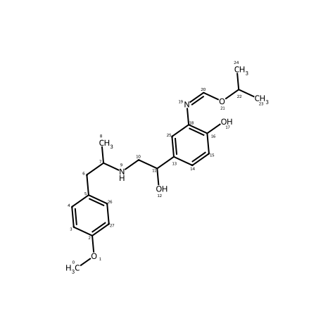 COc1ccc(CC(C)NCC(O)c2ccc(O)c(/N=C\OC(C)C)c2)cc1